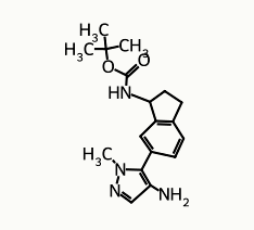 Cn1ncc(N)c1-c1ccc2c(c1)C(NC(=O)OC(C)(C)C)CC2